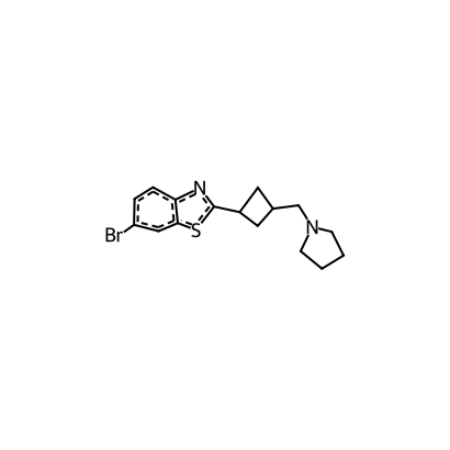 Brc1ccc2nc(C3CC(CN4CCCC4)C3)sc2c1